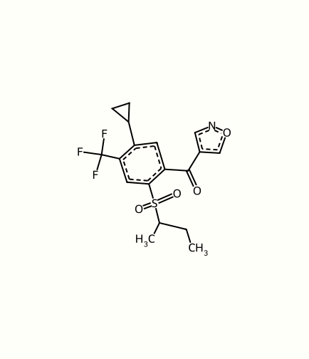 CCC(C)S(=O)(=O)c1cc(C(F)(F)F)c(C2CC2)cc1C(=O)c1cnoc1